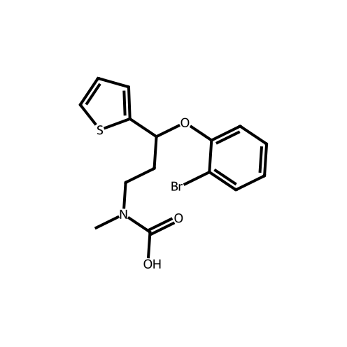 CN(CCC(Oc1ccccc1Br)c1cccs1)C(=O)O